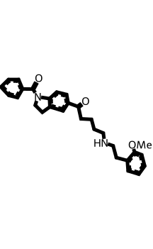 COc1ccccc1CCNCCCCC(=O)c1ccc2c(c1)CCN2C(=O)c1ccccc1